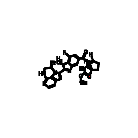 CCC1CNc2nccc3cc(-c4nc5cc(C(=O)N6C[C@H]7CC[C@@H]6[C@@H]7NC(=O)OC(C)(C)C)cc(F)c5n4C)n1c23